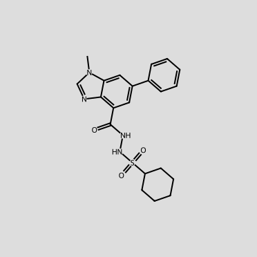 Cn1cnc2c(C(=O)NNS(=O)(=O)C3CCCCC3)cc(-c3ccccc3)cc21